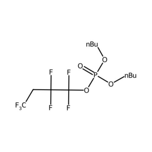 CCCCOP(=O)(OCCCC)OC(F)(F)C(F)(F)CC(F)(F)F